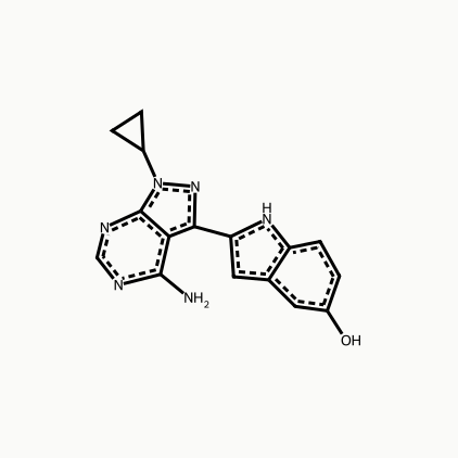 Nc1ncnc2c1c(-c1cc3cc(O)ccc3[nH]1)nn2C1CC1